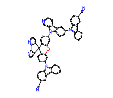 N#Cc1ccc2c(c1)c1ccccc1n2-c1ccc2c(c1)Oc1cc(-n3c4ccc(-n5c6ccccc6c6cc(C#N)ccc65)cc4c4ccncc43)ccc1C21c2cccnc2-c2ncccc21